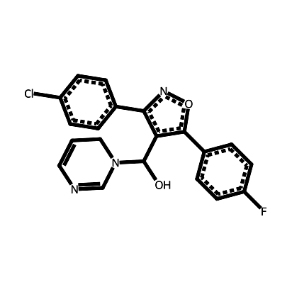 OC(c1c(-c2ccc(Cl)cc2)noc1-c1ccc(F)cc1)N1C=NC=CC1